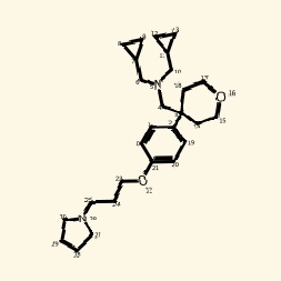 c1cc(C2(CN(CC3CC3)CC3CC3)CCOCC2)ccc1OCCCN1CCCC1